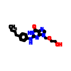 CCCCc1ccc(Nc2nc3c(ncn3COCCO)c(=O)[nH]2)cc1